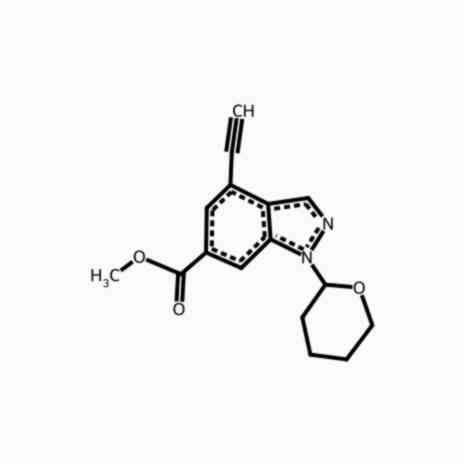 C#Cc1cc(C(=O)OC)cc2c1cnn2C1CCCCO1